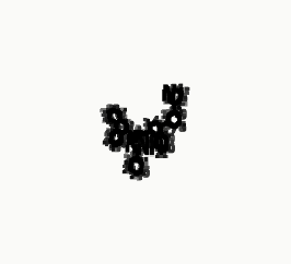 C1=C(c2ccc(-c3cccc(-c4cccnc4)c3)c3ccccc23)NC(c2ccccc2)N=C1c1cc2ccccc2c2ccccc12